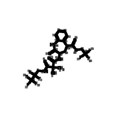 CC(O)(C(=O)NCC(F)(F)C(F)(F)F)C(=O)NC1CN(C(=O)OCC(F)(F)F)c2ccccc2NC1=O